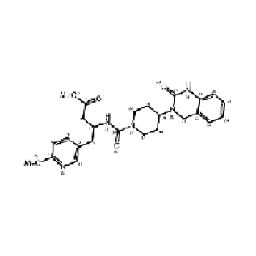 COC(=O)CC(Cc1ccc(OC)nc1)NC(=O)N1CCC(N2Cc3ccccc3NC2=O)CC1